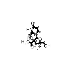 C=C(C)[C@@]1(O)C[C@@](F)(CO)O[C@H]1n1ccc(=O)[nH]c1=O